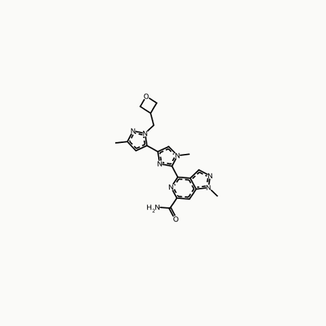 Cc1cc(-c2cn(C)c(-c3nc(C(N)=O)cc4c3cnn4C)n2)n(CC2COC2)n1